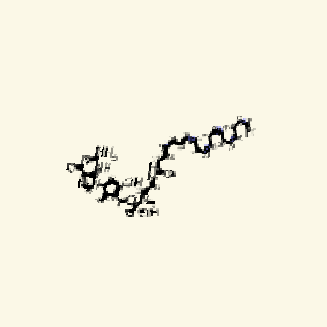 C=C1[C@H](COP(=O)(O)N(C)CCNC(=O)CC/C=C\C/C=C\C/C=C\C/C=C\C/C=C\C/C=C\CC)[C@@H](O)C[C@@H]1n1cnc2c(=O)nc(N)[nH]c21